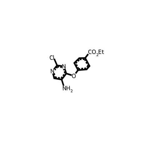 CCOC(=O)c1ccc(Oc2nc(Cl)ncc2N)cc1